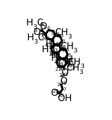 COC(=O)[C@@]1(C)CC[C@]2(C)CC[C@]3(C)C(=CC[C@@H]4[C@@]5(C)CC[C@H](OCOCCC(=O)O)C(C)(C)[C@@H]5CC[C@]43C)[C@@H]2C1